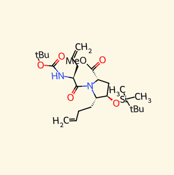 C=CCC[C@H]1[C@H](O[Si](C)(C)C(C)(C)C)C[C@@H](C(=O)OC)N1C(=O)[C@H](CC=C)NC(=O)OC(C)(C)C